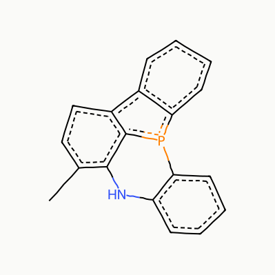 Cc1ccc2c3ccccc3p3c2c1Nc1ccccc1-3